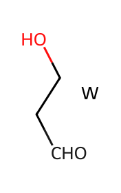 O=CCCO.[W]